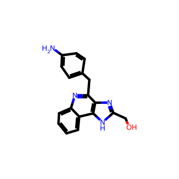 Nc1ccc(Cc2nc3ccccc3c3[nH]c(CO)nc23)cc1